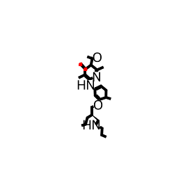 CCCNC[C@@H](CCC)COC1=CC(NC(/N=C(/C)C(CC)C(C)=O)=C(\C)CC)=CCC1C